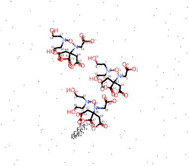 O=C([O-])CN(ON(CCO)CCO)C(CC(=O)[O-])(CC(=O)[O-])C(=O)[O-].O=C([O-])CN(ON(CCO)CCO)C(CC(=O)[O-])(CC(=O)[O-])C(=O)[O-].O=C([O-])CN(ON(CCO)CCO)C(CC(=O)[O-])(CC(=O)[O-])C(=O)[O-].[Fe+3].[Fe+3].[Fe+3].[Fe+3]